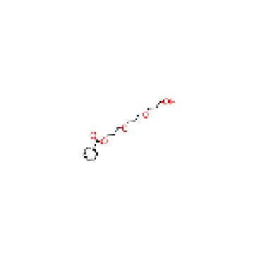 O=C(OCCCOCCCOCCCO)c1ccccc1